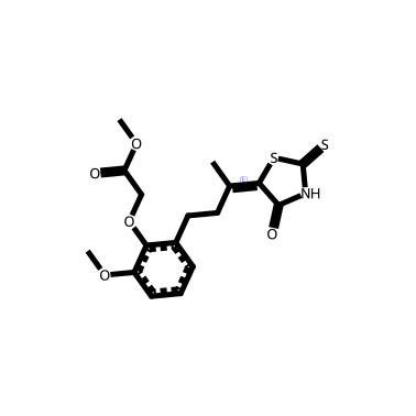 COC(=O)COc1c(CC/C(C)=C2/SC(=S)NC2=O)cccc1OC